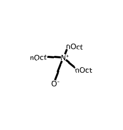 CCCCCCCC[N+]([O-])(CCCCCCCC)CCCCCCCC